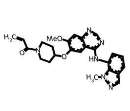 C=CC(=O)N1CCC(Oc2cc3c(Nc4cccc5cnn(C)c45)ncnc3cc2OC)CC1